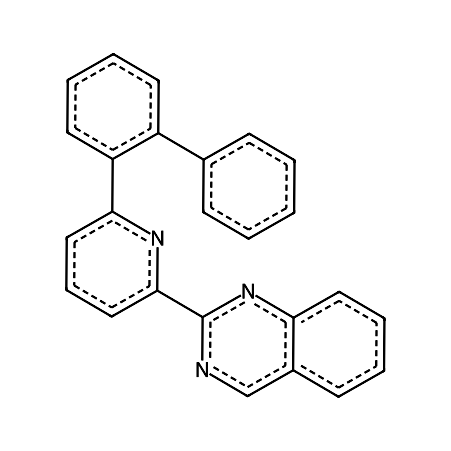 c1ccc(-c2ccccc2-c2cccc(-c3ncc4ccccc4n3)n2)cc1